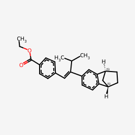 CCOC(=O)c1ccc(C=C(c2ccc3c(c2)[C@H]2CC[C@H]3C2)C(C)C)cc1